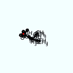 CC(C)(C)OC(=O)NCCCN(CCCNC(=O)OC(C)(C)C)C(=N)N1Cc2ccc(OC[C@H](ON3C(=O)C4=C(CCC=C4)C3=O)C(=O)OC(c3ccccc3)c3ccccc3)cc2C1